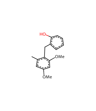 COc1cc(C)c(Cc2ccccc2O)c(OC)c1